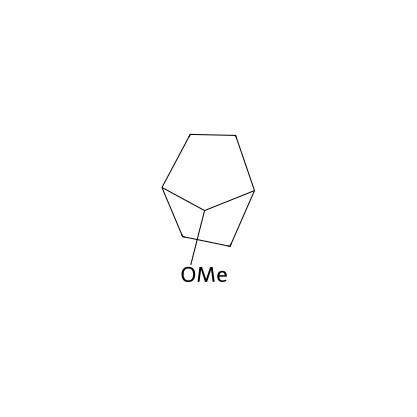 COC1C2CCC1CC2